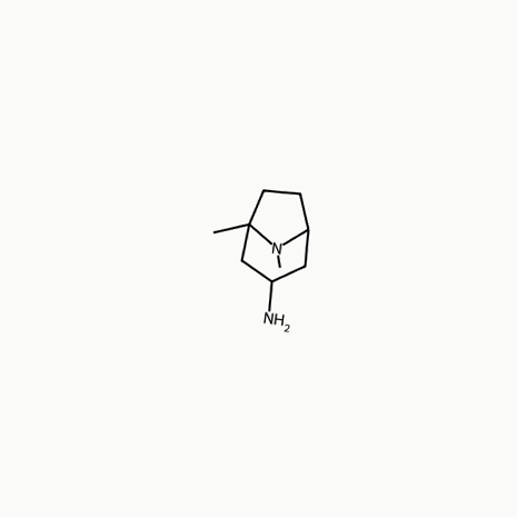 CN1C2CCC1(C)CC(N)C2